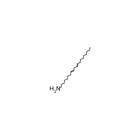 CCCCCCCCC=CCC=CCCCCCCCN